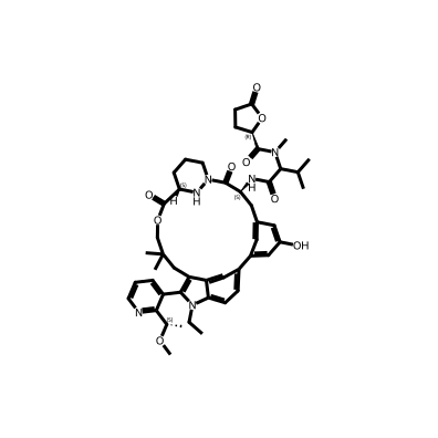 CCn1c(-c2cccnc2[C@H](C)OC)c2c3cc(ccc31)-c1cc(O)cc(c1)C[C@H](NC(=O)C(C(C)C)N(C)C(=O)[C@H]1CCC(=O)O1)C(=O)N1CCC[C@H](N1)C(=O)OCC(C)(C)C2